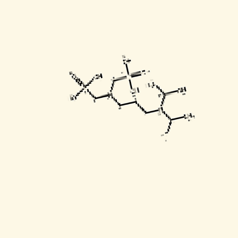 CC(O)N(CCCN(CP(=O)(O)O)CP(=O)(O)O)C(C)O